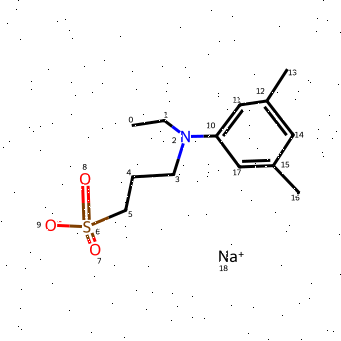 CCN(CCCS(=O)(=O)[O-])c1cc(C)cc(C)c1.[Na+]